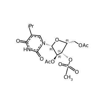 CC(=O)OC[C@H]1O[C@@H](n2cc(C(C)C)c(=O)[nH]c2=O)[C@H](OC(C)=O)[C@H]1OS(C)(=O)=O